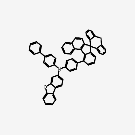 c1ccc(-c2ccc(N(c3ccc(-c4cccc5c4-c4c(ccc6ccccc46)C54c5ccccc5Sc5ccccc54)cc3)c3ccc4c(c3)oc3ccccc34)cc2)cc1